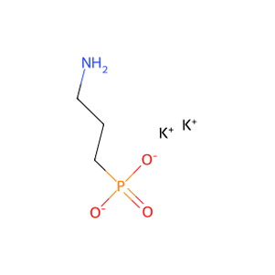 NCCCP(=O)([O-])[O-].[K+].[K+]